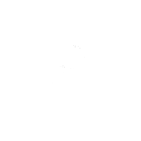 CCC(CC)(c1ccc(NC(=O)C=Cc2cnn(C)c2-c2cccs2)cc1)P(=O)(O)O